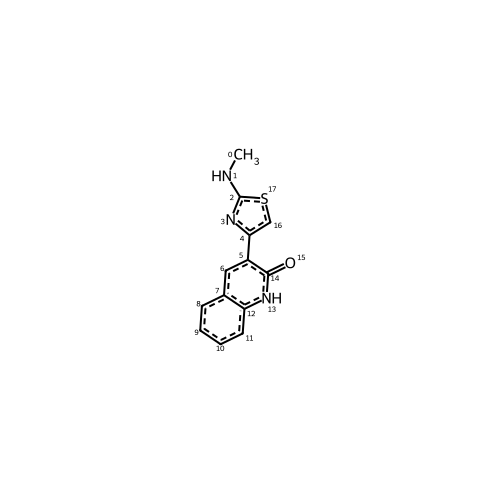 CNc1nc(-c2cc3ccccc3[nH]c2=O)cs1